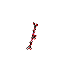 Cc1ccc(-n2c3ccccc3c3cc(-c4ccc5c(c4)C(C)(C)c4cc(/C=C/c6ccc7c(c6)C6(c8ccccc8-c8ccccc86)c6cc(/C=C/c8ccc9c(c8)C(C)(C)c8cc(-c%10ccc%11c(c%10)c%10ccccc%10n%11-c%10ccc(C)cc%10)ccc8-9)ccc6-7)ccc4-5)ccc32)cc1